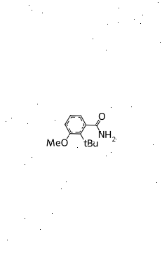 COc1cccc(C(N)=O)c1C(C)(C)C